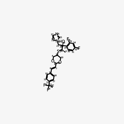 C[C@@H](SC1COC(C=Cc2ccc(C(F)(F)F)cc2)OC1)[C@](O)(Cn1cncn1)c1ccc(F)cc1F